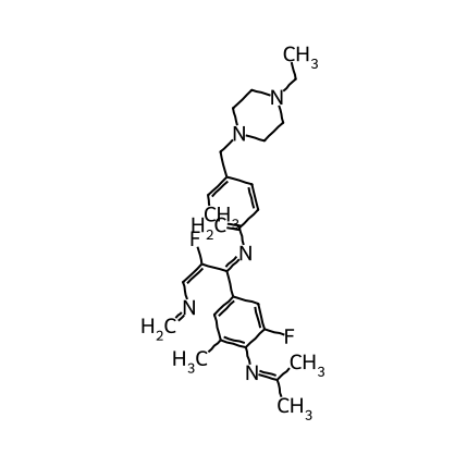 C=N/C=C(F)\C(=N/C(=C)/C=C\C(=C/C)CN1CCN(CC)CC1)c1cc(C)c(N=C(C)C)c(F)c1